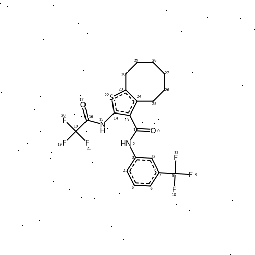 O=C(Nc1cccc(C(F)(F)F)c1)c1c(NC(=O)C(F)(F)F)sc2c1CCCCCC2